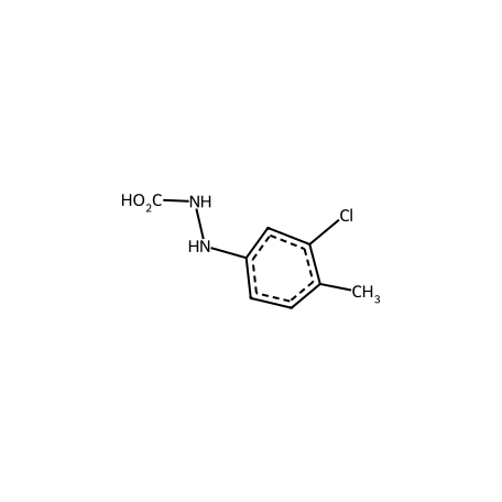 Cc1ccc(NNC(=O)O)cc1Cl